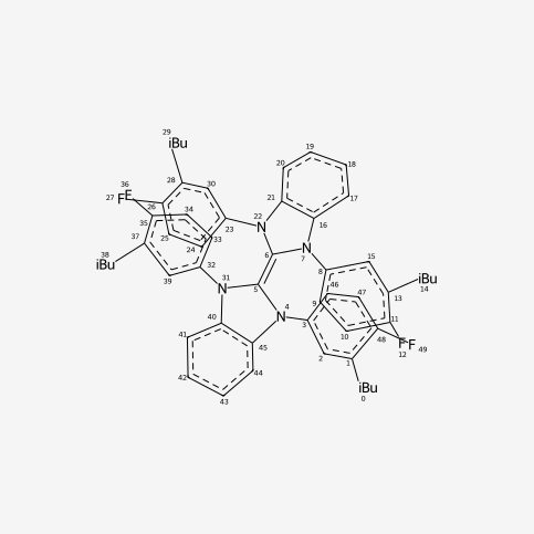 CCC(C)c1cc(N2C(=C3N(c4ccc(F)c(C(C)CC)c4)c4ccccc4N3c3ccc(F)c(C(C)CC)c3)N(c3ccc(F)c(C(C)CC)c3)c3ccccc32)ccc1F